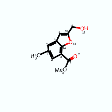 COC(=O)c1cc(C)cc2cc(CO)oc12